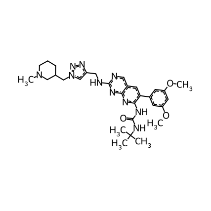 COc1cc(OC)cc(-c2cc3cnc(NCc4cn(CC5CCCN(C)C5)nn4)nc3nc2NC(=O)NC(C)(C)C)c1